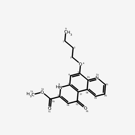 CCCCOc1cc2[nH]c(C(=O)OC)cc(=O)c2c2cccnc12